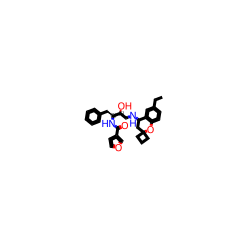 CCc1ccc2c(c1)C(NC[C@H](O)[C@H](Cc1ccccc1)NC(=O)c1ccoc1)CC1(CCC1)O2